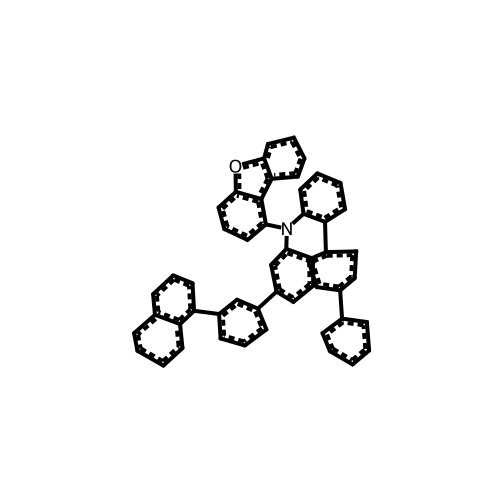 c1ccc(-c2ccc(-c3ccccc3N(c3cccc(-c4cccc(-c5cccc6ccccc56)c4)c3)c3cccc4oc5ccccc5c34)cc2)cc1